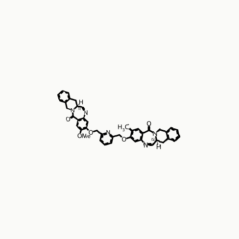 COc1cc2c(cc1OCc1cccc(COc3cc4c(cc3C)C(=O)N3Cc5ccccc5C[C@H]3C=N4)n1)N=C[C@@H]1Cc3ccccc3CN1C2=O